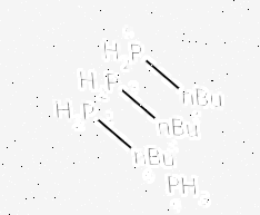 CCCCP.CCCCP.CCCCP.P